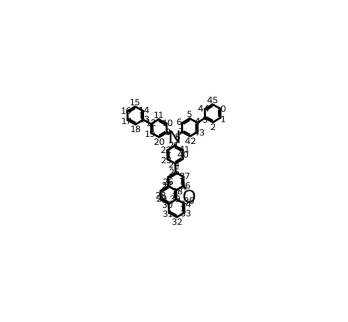 c1ccc(-c2ccc(N(c3ccc(-c4ccccc4)cc3)c3ccc(-c4cc5ccc6cccc7oc(c4)c5c67)cc3)cc2)cc1